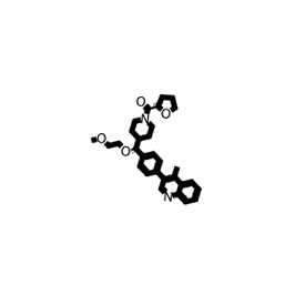 COCCO[C@@H](c1ccc(-c2cnc3ccccc3c2C)cc1)C1CCN(C(=O)[C@H]2CCCO2)CC1